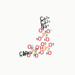 O=P([O-])([O-])O.O=P([O-])([O-])[O-].O=P([O-])([O-])[O-].[Ca+2].[Ca+2].[Ca+2].[Na+].[Na+]